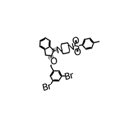 Cc1ccc(S(=O)(=O)N2CCN([C@H]3c4ccccc4C[C@H]3OCc3cc(Br)cc(Br)c3)CC2)cc1